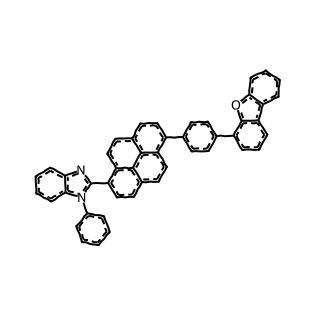 c1ccc(-n2c(-c3ccc4ccc5c(-c6ccc(-c7cccc8c7oc7ccccc78)cc6)ccc6ccc3c4c65)nc3ccccc32)cc1